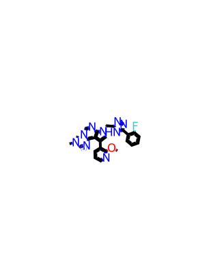 COc1ncccc1-c1cn(Cc2nnc(-c3ccccc3F)[nH]2)c2ncnc(/N=C\N(C)C)c12